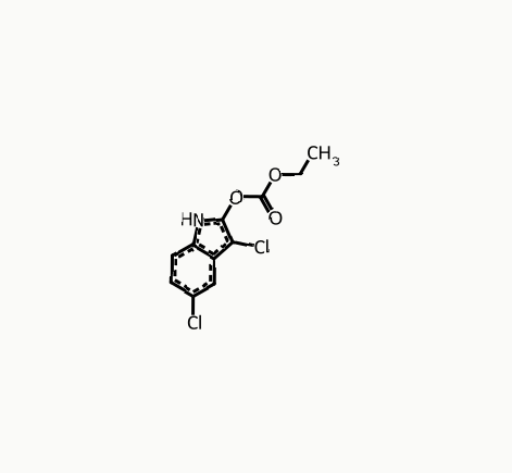 CCOC(=O)Oc1[nH]c2ccc(Cl)cc2c1Cl